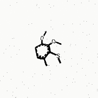 [CH2]c1ccc(OC)c(OC)c1SC